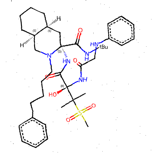 CC(C)(C)NC(=O)[C@]1(NC(=O)[C@](O)(NC(=O)CNc2ccccc2)C(C)(C)S(C)(=O)=O)C[C@@H]2CCCC[C@@H]2CN1CCCCc1ccccc1